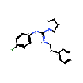 Clc1ccc(NC(=NCCc2ccccc2)N2CCCC2)cc1